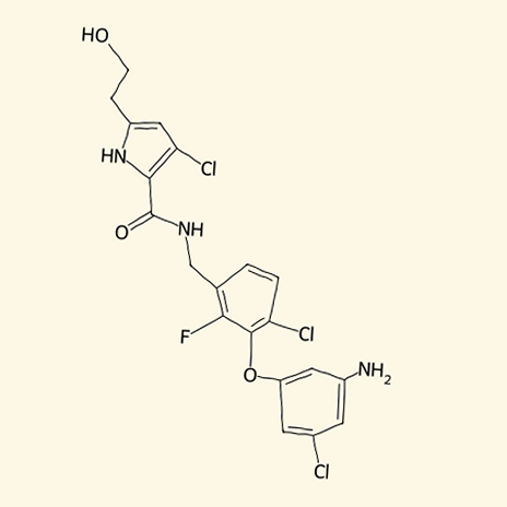 Nc1cc(Cl)cc(Oc2c(Cl)ccc(CNC(=O)c3[nH]c(CCO)cc3Cl)c2F)c1